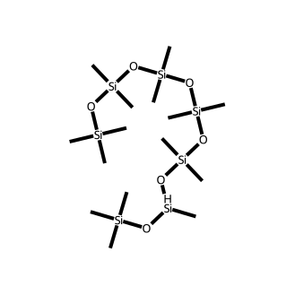 C[SiH](O[Si](C)(C)C)O[Si](C)(C)O[Si](C)(C)O[Si](C)(C)O[Si](C)(C)O[Si](C)(C)C